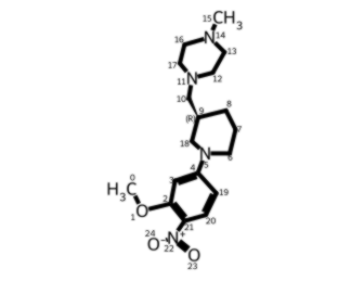 COc1cc(N2CCC[C@H](CN3CCN(C)CC3)C2)ccc1[N+](=O)[O-]